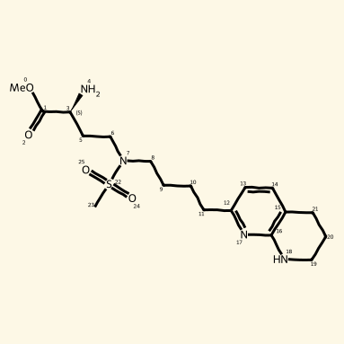 COC(=O)[C@@H](N)CCN(CCCCc1ccc2c(n1)NCCC2)S(C)(=O)=O